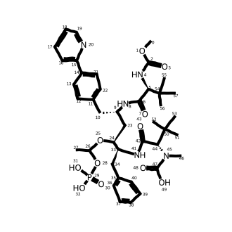 COC(=O)N[C@H](C(=O)N[C@@H](Cc1ccc(-c2ccccn2)cc1)C[C@H](OC(C)OP(=O)(O)O)[C@H](Cc1ccccc1)NC(=O)[C@@H](N(C)C(=O)O)C(C)(C)C)C(C)(C)C